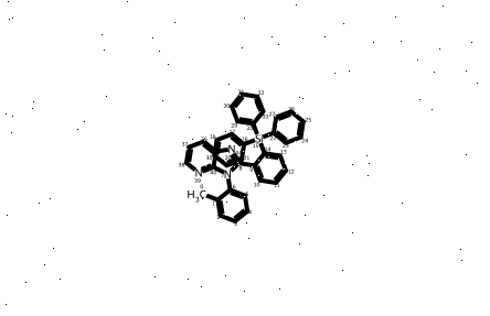 Cc1ccccc1-n1c(-c2ccccc2[Si](c2ccccc2)(c2ccccc2)c2ccccc2)nc2cccnc21